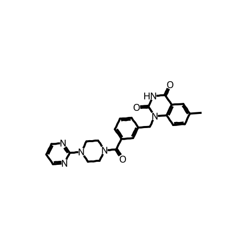 Cc1ccc2c(c1)c(=O)[nH]c(=O)n2Cc1cccc(C(=O)N2CCN(c3ncccn3)CC2)c1